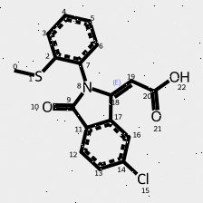 CSc1ccccc1N1C(=O)c2ccc(Cl)cc2/C1=C\C(=O)O